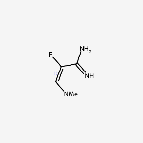 CN/C=C(/F)C(=N)N